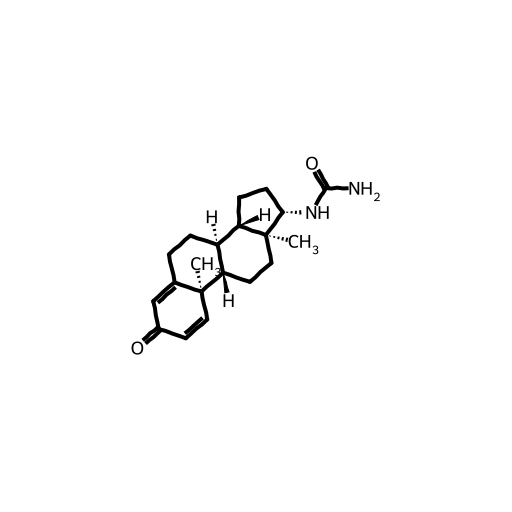 C[C@]12CC[C@H]3[C@@H](CCC4=CC(=O)C=C[C@@]43C)[C@@H]1CC[C@@H]2NC(N)=O